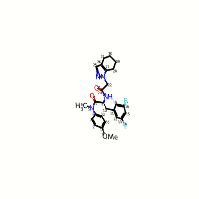 COc1ccc(N(C)C(=O)[C@H](Cc2cc(F)cc(F)c2)NC(=O)Cn2ncc3c2CCCC3)cc1